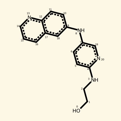 OCCNc1ccc(Nc2ccc3nc[c]cc3c2)cn1